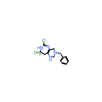 ClC1=NC2=C(C[C@@H](Cl)N1)NCN(Cc1ccccc1)C2